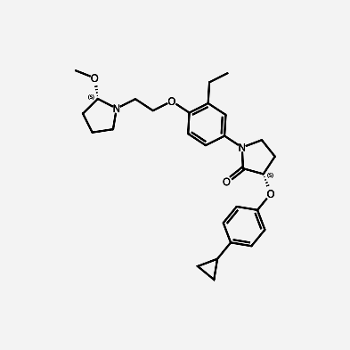 CCc1cc(N2CC[C@H](Oc3ccc(C4CC4)cc3)C2=O)ccc1OCCN1CCC[C@@H]1OC